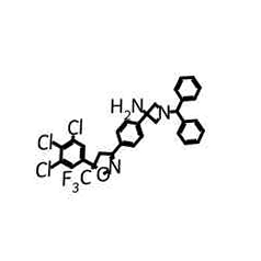 NC1(c2ccc(C3=NOC(c4cc(Cl)c(Cl)c(Cl)c4)(C(F)(F)F)C3)cc2)CN(C(c2ccccc2)c2ccccc2)C1